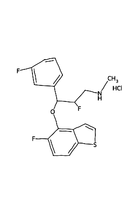 CNCC(F)C(Oc1c(F)ccc2sccc12)c1cccc(F)c1.Cl